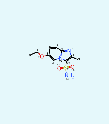 CCOc1ccc2nc(C)c(S(N)(=O)=O)n2c1